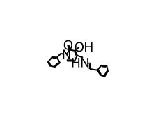 O=c1c(O)c(CNC=Cc2ccccc2)ccn1Cc1ccccc1